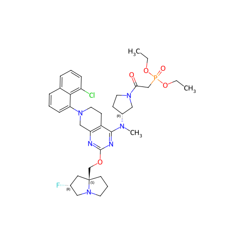 CCOP(=O)(CC(=O)N1CC[C@@H](N(C)c2nc(OC[C@@]34CCCN3C[C@H](F)C4)nc3c2CCN(c2cccc4cccc(Cl)c24)C3)C1)OCC